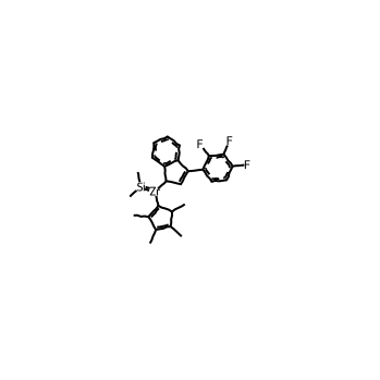 CC1=C(C)C(C)[C]([Zr]([CH]2C=C(c3ccc(F)c(F)c3F)c3ccccc32)=[Si](C)C)=C1C